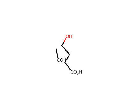 CC(=O)O.O=C(O)CCCO